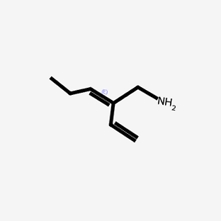 C=C/C(=C\CC)CN